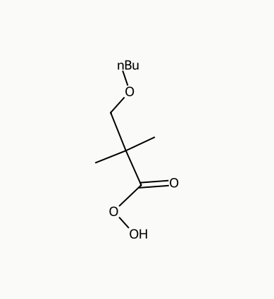 CCCCOCC(C)(C)C(=O)OO